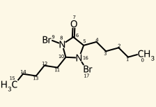 CCCCCC1C(=O)N(Br)C(CCCCC)N1Br